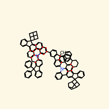 CC1(c2ccccc2)c2ccc(-c3cc(C4CCCCC4)c4c(-c5ccccc5N(c5ccc6c(c5)C(c5ccccc5)(c5ccccc5)c5ccccc5-6)c5ccccc5-c5ccc6c(c5)C5(c7ccccc7-6)C6CC7CC8CC5C786)cccc4c3)cc2-c2ccc(N(c3ccccc3-c3ccc4c(c3)C3(c5ccccc5-4)C4CC5CC6CC3C64C5)c3ccccc3-c3cccc4cccc(C5CCCCC5)c34)cc21